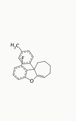 Cc1ccc(C23CCCCC=C2Oc2cccc(F)c23)cc1